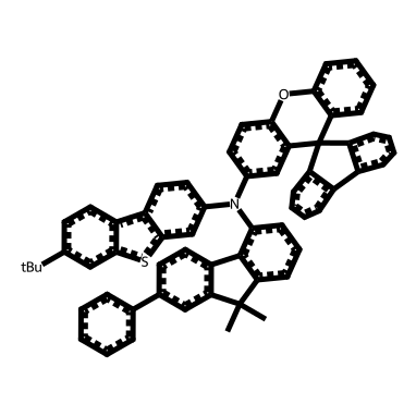 CC(C)(C)c1ccc2c(c1)sc1cc(N(c3ccc4c(c3)C3(c5ccccc5O4)c4ccccc4-c4ccccc43)c3cccc4c3-c3ccc(-c5ccccc5)cc3C4(C)C)ccc12